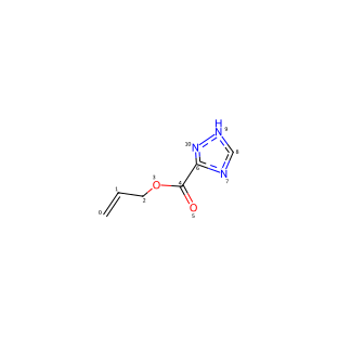 C=CCOC(=O)c1nc[nH]n1